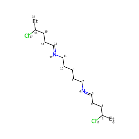 CCC(Cl)CCC=NCCCCCN=CCCC(Cl)CC